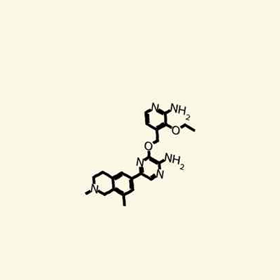 CCOc1c(COc2nc(-c3cc(C)c4c(c3)CCN(C)C4)cnc2N)ccnc1N